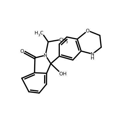 CC(C)N1C(=O)c2ccccc2C1(O)c1ccc2c(c1)NCCO2